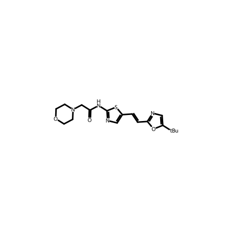 CC(C)(C)c1cnc(/C=C/c2cnc(NC(=O)CN3CCOCC3)s2)o1